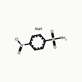 NS(=O)(=O)c1ccc([N+](=O)[O-])cc1.[NaH]